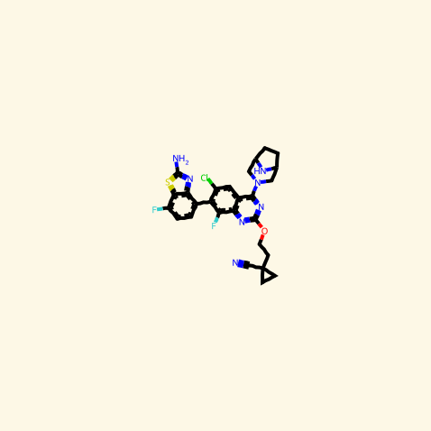 N#CC1(CCOc2nc(N3CC4CCC(C3)N4)c3cc(Cl)c(-c4ccc(F)c5sc(N)nc45)c(F)c3n2)CC1